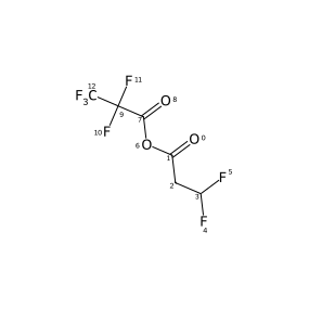 O=C(CC(F)F)OC(=O)C(F)(F)C(F)(F)F